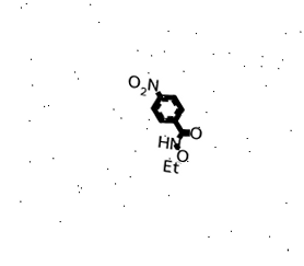 CCONC(=O)c1ccc([N+](=O)[O-])cc1